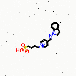 O=S(=O)(O)CCCC[n+]1ccc(C=NN2CCc3ccccc32)cc1